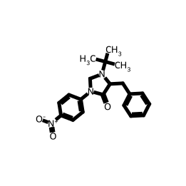 CC(C)(C)N1CN(c2ccc([N+](=O)[O-])cc2)C(=O)C1Cc1ccccc1